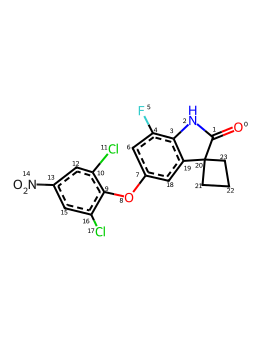 O=C1Nc2c(F)cc(Oc3c(Cl)cc([N+](=O)[O-])cc3Cl)cc2C12CCC2